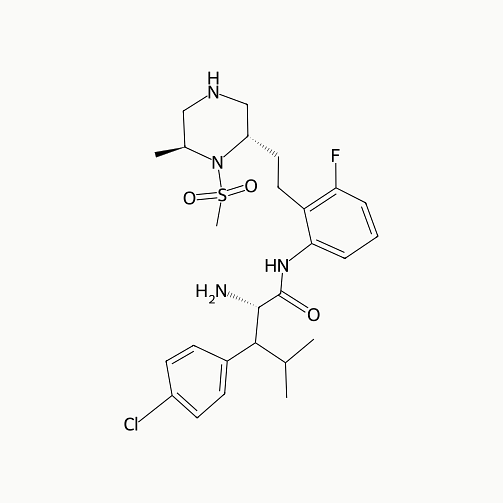 CC(C)C(c1ccc(Cl)cc1)[C@H](N)C(=O)Nc1cccc(F)c1CC[C@H]1CNC[C@H](C)N1S(C)(=O)=O